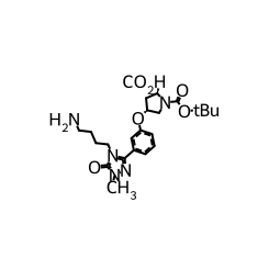 Cn1nc(-c2cccc(O[C@H]3C[C@@H](C(=O)O)N(C(=O)OC(C)(C)C)C3)c2)n(CCCCN)c1=O